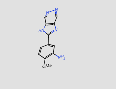 COc1ccc(-c2nc3cnncc3[nH]2)cc1N